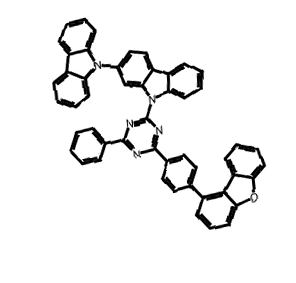 c1ccc(-c2nc(-c3ccc(-c4cccc5oc6ccccc6c45)cc3)nc(-n3c4ccccc4c4ccc(-n5c6ccccc6c6ccccc65)cc43)n2)cc1